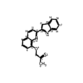 CC(=S)COc1cccc2ccc(C3=Nc4ccccc4C3)nc12